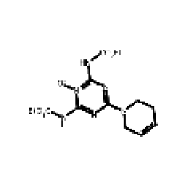 CCOC(=O)Nc1nc(N2CC=CCC2)nc(NC(=O)OCC)[n+]1[O-]